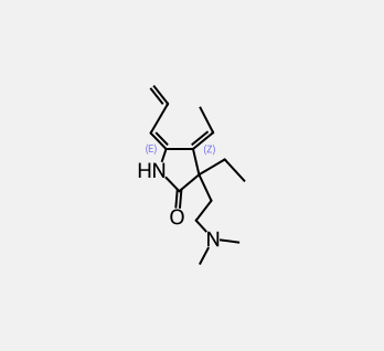 C=C/C=C1/NC(=O)C(CC)(CCN(C)C)/C1=C/C